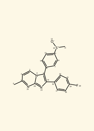 Cc1ccn2c(-c3ccc([S+](C)[O-])cc3)c(-c3ccc(F)cc3)nc2n1